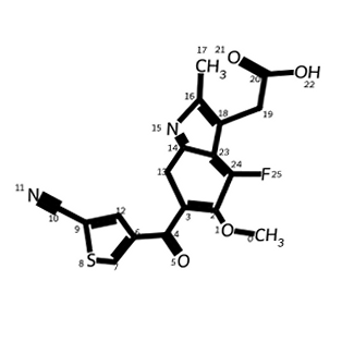 COC1=C(C(=O)c2csc(C#N)c2)CC2=NC(C)=C(CC(=O)O)C2=C1F